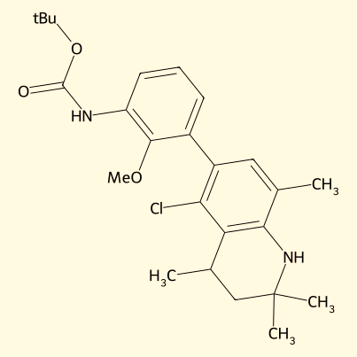 COc1c(NC(=O)OC(C)(C)C)cccc1-c1cc(C)c2c(c1Cl)C(C)CC(C)(C)N2